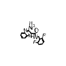 Nc1nc2ccccc2nc1C(=O)NCc1c(F)cccc1F